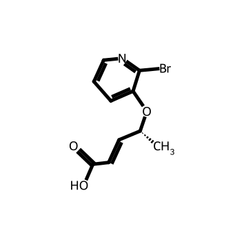 C[C@H](/C=C/C(=O)O)Oc1cccnc1Br